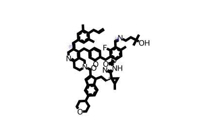 C=CCc1c(C)cc(/C=C2/CN=C3CCN(C(=O)C4=Cc5cc(C6CCOCC6)ccc5C4CC[C@@]4(c5noc(=O)[nH]5)CC4C)CC3=C2CC2=CC(=O)C(Cc3ccc(C)c(/C=N\CCC(C)(C)O)c3F)C=C2)cc1C